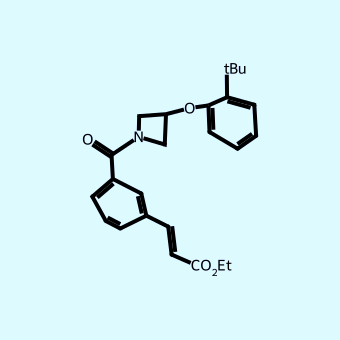 CCOC(=O)/C=C/c1cccc(C(=O)N2CC(Oc3ccccc3C(C)(C)C)C2)c1